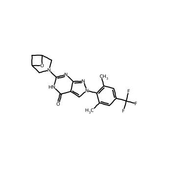 Cc1cc(C(F)(F)F)cc(C)c1-n1cc2c(=O)[nH]c(N3CC4CC(C3)O4)nc2n1